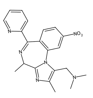 Cc1nc2n(c1CN(C)C)-c1cc([N+](=O)[O-])ccc1C(c1ccccn1)=NC2C